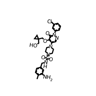 Cc1ccc(CNS(=O)(=O)N2CCN(c3cnn(-c4cccc(Cl)c4)c(=O)c3OCC3(CO)CC3)CC2)cc1N